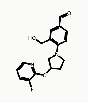 O=Cc1ccc(N2CCC(Oc3ncccc3F)C2)c(CO)c1